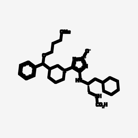 COCCCOC(c1ccccc1)C1CCCN(c2n[s+]([O-])nc2N[C@@H](CNC(=O)O)CC2CCCCC2)C1